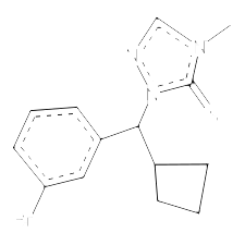 Cn1cnn(C(c2cccc(Br)c2)C2CCC2)c1=S